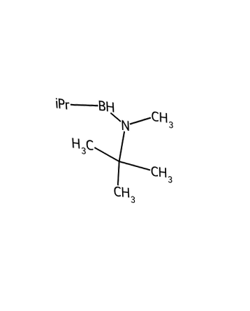 CC(C)BN(C)C(C)(C)C